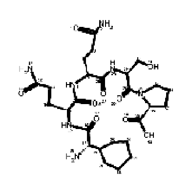 NC(=O)CC[C@H](NC(=O)[C@H](CCC(N)=O)NC(=O)[C@@H](N)C1CCCCC1)C(=O)N[C@@H](CO)C(=O)N1CCC[C@H]1C(=O)O